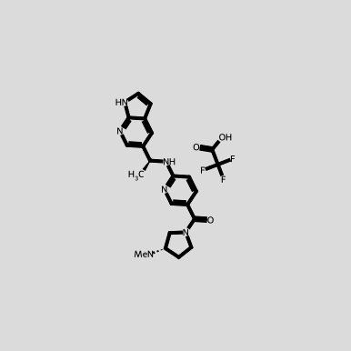 CN[C@H]1CCN(C(=O)c2ccc(N[C@@H](C)c3cnc4[nH]ccc4c3)nc2)C1.O=C(O)C(F)(F)F